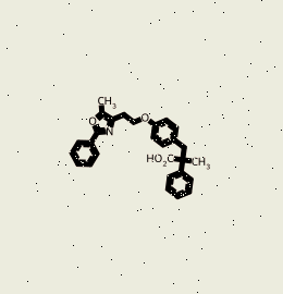 Cc1oc(-c2ccccc2)nc1CCOc1ccc(CC(C)(C(=O)O)c2ccccc2)cc1